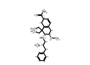 CCC1(CC)C2=C(C=CC(C(N)=O)C2)C[C@@H](OC)[C@@H]1NC[C@@H](N)Cc1ccccc1